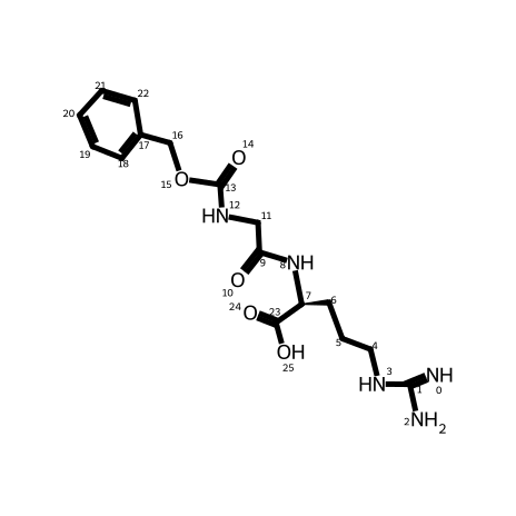 N=C(N)NCCC[C@H](NC(=O)CNC(=O)OCc1ccccc1)C(=O)O